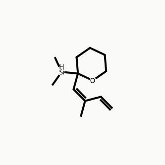 C=CC(C)=CC1([SiH](C)C)CCCCO1